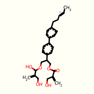 C=C(CO)C(=O)OCC(COC(O)C(=C)CO)c1ccc(-c2ccc(CC/C=C/C)cc2)cc1